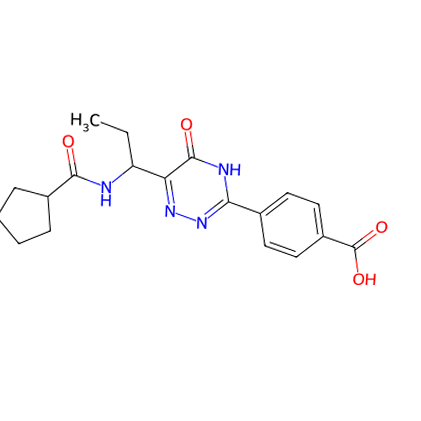 CCC(NC(=O)C1CCCC1)c1nnc(-c2ccc(C(=O)O)cc2)[nH]c1=O